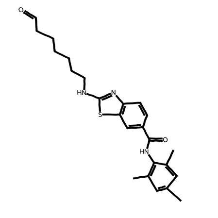 Cc1cc(C)c(NC(=O)c2ccc3nc(NCCCCCCC=O)sc3c2)c(C)c1